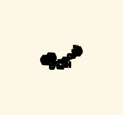 O=C(c1cccc2ccccc12)N1CCNC(CCOCc2cccnc2)C1